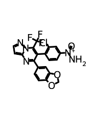 N[N+](=O)c1ccc(-c2c(-c3ccc4c(c3)OCO4)nc3ccnn3c2C(F)(F)F)c(Cl)c1